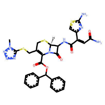 Cn1nnnc1SCC1=C(C(=O)OC(c2ccccc2)c2ccccc2)N2C(=O)C(NC(=O)C(=CC(N)=O)c3csc(N)n3)[C@@H]2SC1